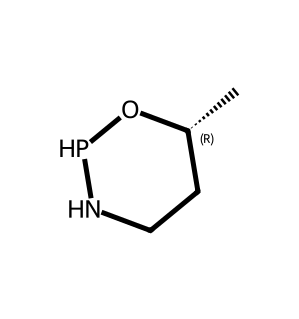 C[C@@H]1CCNPO1